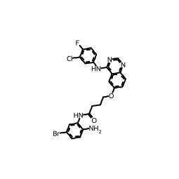 Nc1ccc(Br)cc1NC(=O)CCCOc1ccc2ncnc(Nc3ccc(F)c(Cl)c3)c2c1